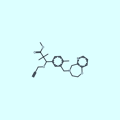 C#CCOC(c1ccc(C)c(CN2CCOc3cccnc3C2)c1)C(C)(C)C(=O)OC